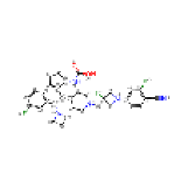 N#Cc1ccc(N2CC(F)(CN3CCC([C@@H]([C@H]4CCC[C@@H]4NC(=O)O)[C@@H](c4cccc(F)c4)N4CCC4)CC3)C2)cc1F